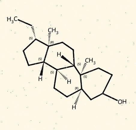 CC[C@H]1CC[C@H]2[C@@H]3CC[C@@H]4CC(O)CC[C@]4(C)[C@H]3CC[C@]12C